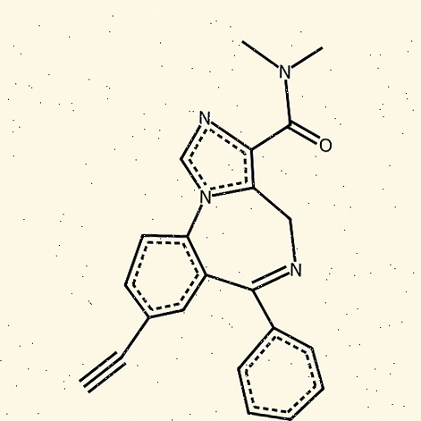 C#Cc1ccc2c(c1)C(c1ccccc1)=NCc1c(C(=O)N(C)C)ncn1-2